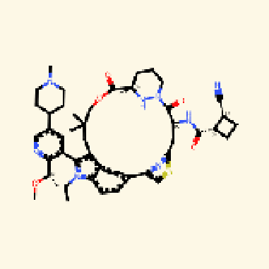 CCn1c(-c2cc(C3CCN(C)CC3)cnc2[C@H](C)OC)c2c3cc(ccc31)-c1csc(n1)C[C@H](NC(=O)[C@H]1CC[C@@H]1C#N)C(=O)N1CCC[C@H](N1)C(=O)OCC(C)(C)C2